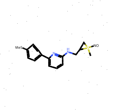 CSc1ccc(-c2cccc(NCC3CS3(C)N=O)n2)cc1